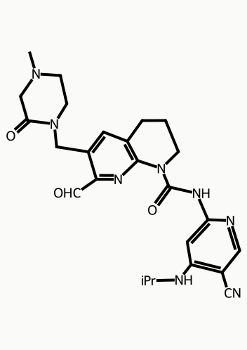 CC(C)Nc1cc(NC(=O)N2CCCc3cc(CN4CCN(C)CC4=O)c(C=O)nc32)ncc1C#N